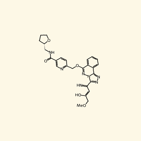 COC/C(O)=C/C(=N)c1nnc2c3ccccc3c(OCc3ccc(C(=O)NC[C@@H]4CCCO4)cn3)nn12